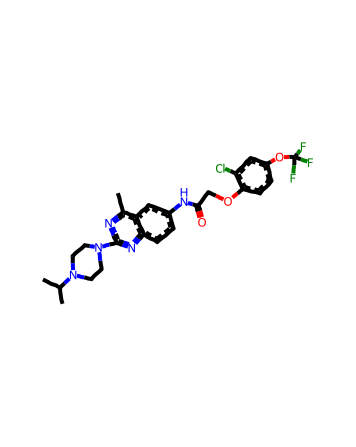 Cc1nc(N2CCN(C(C)C)CC2)nc2ccc(NC(=O)COc3ccc(OC(F)(F)F)cc3Cl)cc12